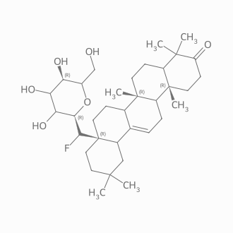 CC1(C)CC[C@]2(C(F)[C@@H]3OC(CO)[C@H](O)C(O)C3O)CCC3C(=CCC4[C@@]3(C)CCC3C(C)(C)C(=O)CC[C@@]34C)C2C1